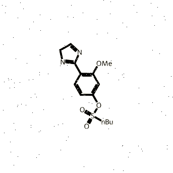 CCCCS(=O)(=O)Oc1ccc(C2=NCC=N2)c(OC)c1